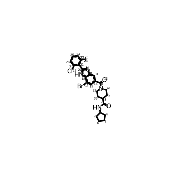 O=C(NC1CCCC1)C1CCN(C(=O)c2cc(Br)c3[nH]c(-c4c(F)cccc4Cl)nc3c2)CC1